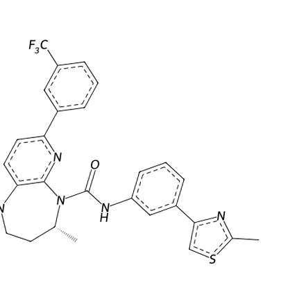 Cc1nc(-c2cccc(NC(=O)N3c4nc(-c5cccc(C(F)(F)F)c5)ccc4NCC[C@H]3C)c2)cs1